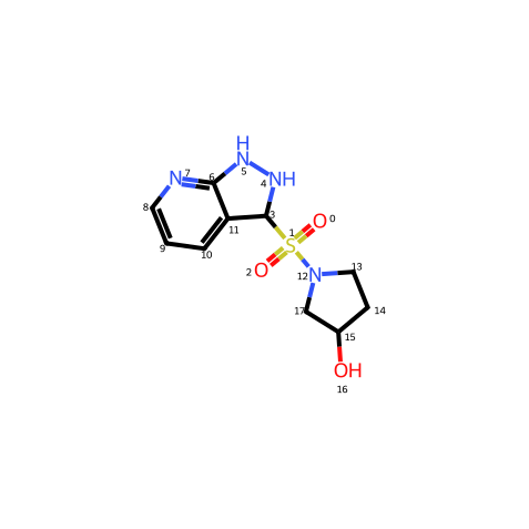 O=S(=O)(C1NNc2ncccc21)N1CCC(O)C1